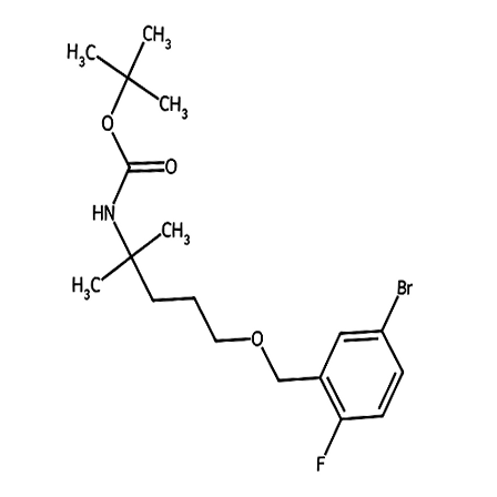 CC(C)(CCCOCc1cc(Br)ccc1F)NC(=O)OC(C)(C)C